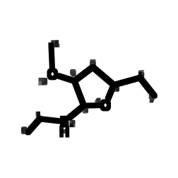 CCBC1OC(CC)CC1OC